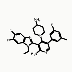 CCn1c(-c2c(N)ncc(-c3cc(C)cc(F)c3)c2N2CCC(N)CC2)nc2cc(F)c(F)cc21